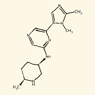 Cc1ncc(-c2cncc(N[C@@H]3CC[C@H](C)NC3)n2)n1C